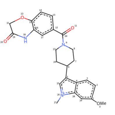 COc1ccc2c(C3CCN(C(=O)c4ccc5c(c4)NC(=O)CO5)CC3)cn(C)c2c1